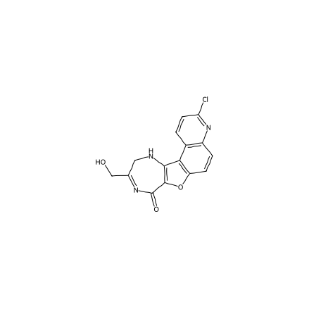 O=C1N=C(CO)CNc2c1oc1ccc3nc(Cl)ccc3c21